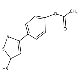 CC(=O)Oc1ccc(C2=CC(S)SS2)cc1